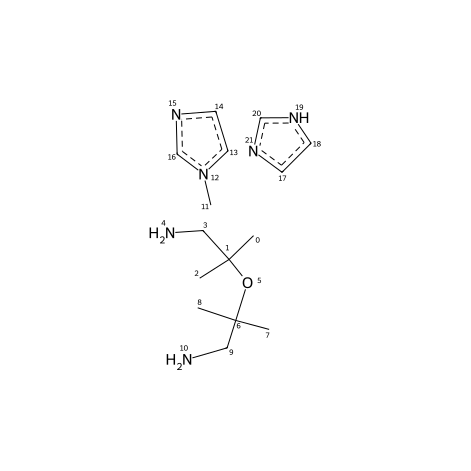 CC(C)(CN)OC(C)(C)CN.Cn1ccnc1.c1c[nH]cn1